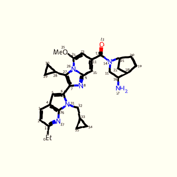 CCc1ccc2cc(-c3nc4cc(C(=O)N5CC(N)C6CCC5C6)cc(OC)n4c3C3CC3)n(CC3CC3)c2n1